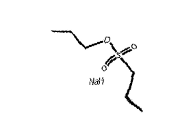 CCCOS(=O)(=O)CCC.[NaH]